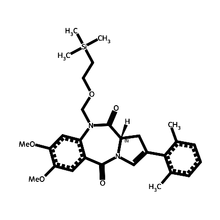 COc1cc2c(cc1OC)N(COCC[Si](C)(C)C)C(=O)[C@@H]1CC(c3c(C)cccc3C)=CN1C2=O